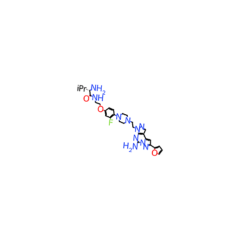 CC(C)[C@H](N)C(=O)NCCOc1ccc(N2CCN(CCn3ncc4c3nc(N)n3nc(-c5ccco5)cc43)CC2)c(F)c1